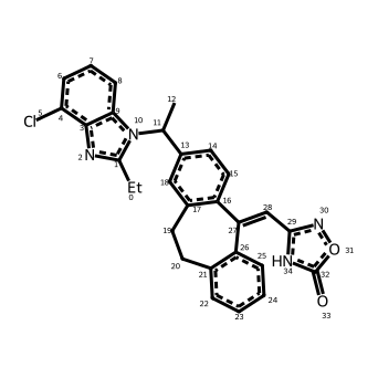 CCc1nc2c(Cl)cccc2n1C(C)c1ccc2c(c1)CCc1ccccc1/C2=C\c1noc(=O)[nH]1